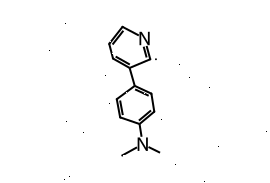 CN(C)c1ccc(-c2[c]nccc2)cc1